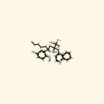 CCCCCC(C)(CC(N)(Cc1ccnc2ccccc12)C(F)(F)F)c1cc(F)ccc1OC